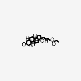 CCC(=O)OCCC=C[C@]1(O)CC[C@H]2[C@@H]3CC[C@H]4CC(=O)C[C@H](C)[C@]4(C)[C@H]3CC[C@@]21C